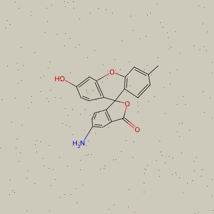 Cc1ccc2c(c1)Oc1cc(O)ccc1C21OC(=O)c2cc(N)ccc21